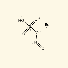 O=NOS(=O)(=O)O.[Ru]